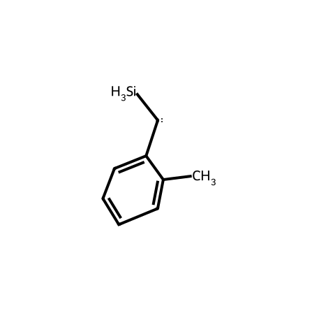 Cc1ccccc1[C][SiH3]